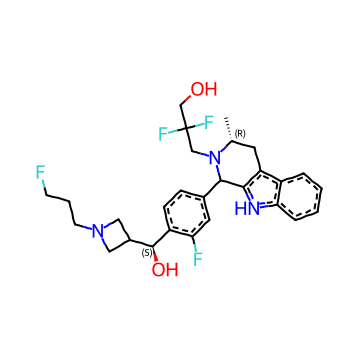 C[C@@H]1Cc2c([nH]c3ccccc23)C(c2ccc([C@@H](O)C3CN(CCCF)C3)c(F)c2)N1CC(F)(F)CO